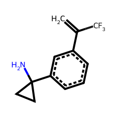 C=C(c1cccc(C2(N)CC2)c1)C(F)(F)F